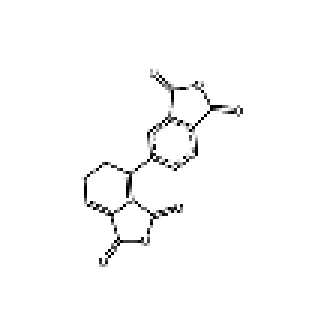 O=C1OC(=O)C2=C(c3ccc4c(c3)C(=O)OC4=O)CCC=C12